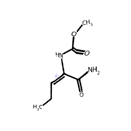 CC/C=C(/NC(=O)OC)C(N)=O